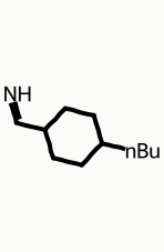 CCCCC1CCC(C=N)CC1